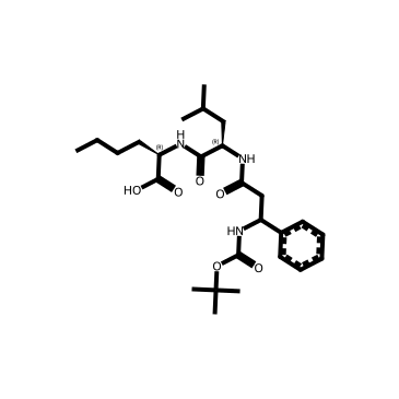 CCCC[C@@H](NC(=O)[C@@H](CC(C)C)NC(=O)CC(NC(=O)OC(C)(C)C)c1ccccc1)C(=O)O